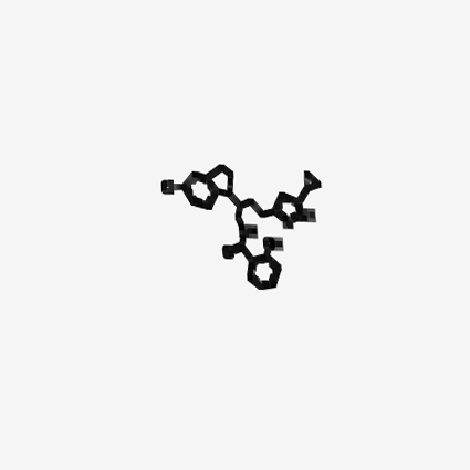 O=C(NCC(CCc1cc(C2CC2)[nH]n1)C1CCc2cc(Cl)ccc21)c1ccccc1O